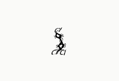 ClC1CC([C]2CC(Cl)(Cl)C2)C1